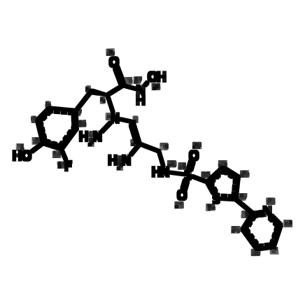 N/C(=C\N(N)[C@@H](Cc1ccc(O)c(F)c1)C(=O)NO)CNS(=O)(=O)c1ccc(-c2ccccn2)s1